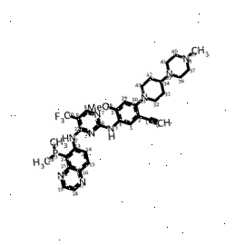 C#Cc1cc(Nc2ncc(C(F)(F)F)c(Nc3ccc4nccnc4c3P(C)C)n2)c(OC)cc1N1CCC(N2CCN(C)CC2)CC1